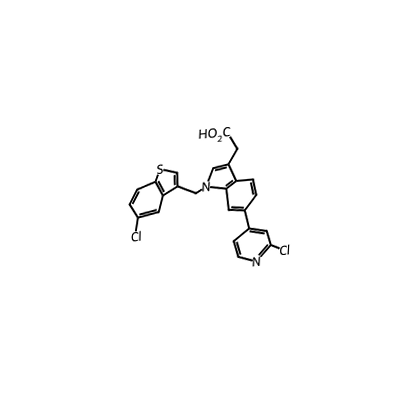 O=C(O)Cc1cn(Cc2csc3ccc(Cl)cc23)c2cc(-c3ccnc(Cl)c3)ccc12